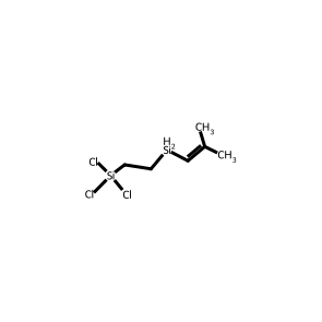 CC(C)=C[SiH2]CC[Si](Cl)(Cl)Cl